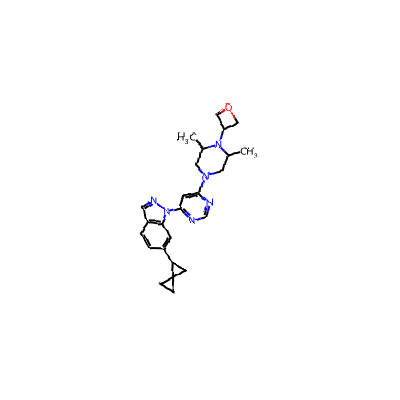 CC1CN(c2cc(-n3ncc4ccc(C5CC56CC6)cc43)ncn2)CC(C)N1C1COC1